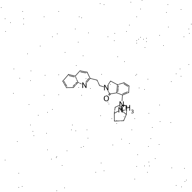 CN1C2CCC1CN(c1cccc3c1C(=O)N(CCc1ccc4ccccc4n1)C3)C2